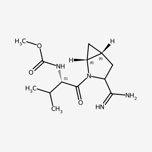 COC(=O)N[C@H](C(=O)N1C(C(=N)N)C[C@H]2C[C@H]21)C(C)C